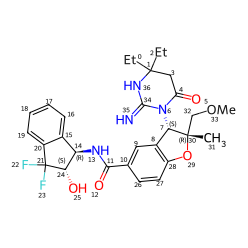 CCC1(CC)CC(=O)N([C@H]2c3cc(C(=O)N[C@@H]4c5ccccc5C(F)(F)[C@H]4O)ccc3O[C@@]2(C)COC)C(=N)N1